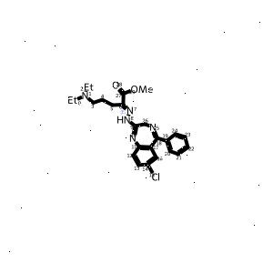 CCN(CC)CCC/C(=N\NC1=Nc2ccc(Cl)cc2C(c2ccccc2)=NC1)C(=O)OC